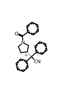 N#CC(c1ccccc1)(c1ccccc1)[C@@H]1CCN(C(=O)c2ccccc2)C1